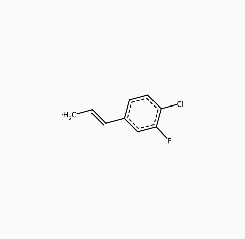 [CH2]C=Cc1ccc(Cl)c(F)c1